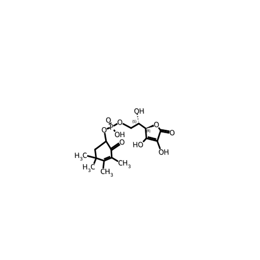 CC1=C(C)C(C)(C)CC(OP(=O)(O)OC[C@H](O)[C@H]2OC(=O)C(O)=C2O)C1=O